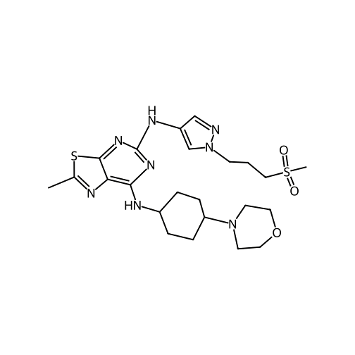 Cc1nc2c(NC3CCC(N4CCOCC4)CC3)nc(Nc3cnn(CCCS(C)(=O)=O)c3)nc2s1